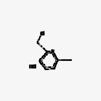 Cc1cccc(CCl)n1.Cl